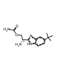 CC(C)(C)c1ccc2[nH]c([C@H](N)COC(N)=O)nc2c1